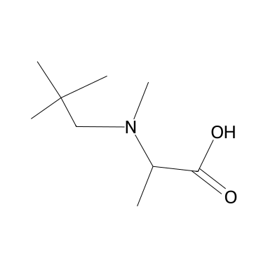 CC(C(=O)O)N(C)CC(C)(C)C